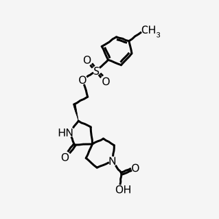 Cc1ccc(S(=O)(=O)OCC[C@H]2CC3(CCN(C(=O)O)CC3)C(=O)N2)cc1